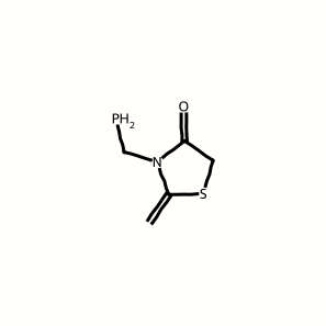 C=C1SCC(=O)N1CP